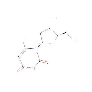 O=c1cc(Br)n([C@H]2C[C@H](O)[C@@H](CO)O2)c(=O)[nH]1